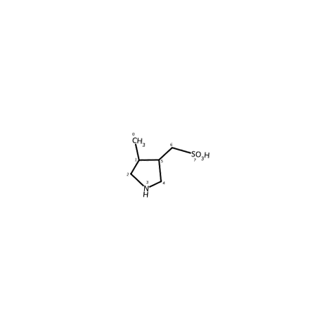 CC1CNCC1CS(=O)(=O)O